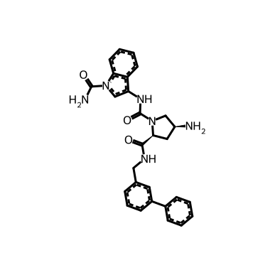 NC(=O)n1cc(NC(=O)N2C[C@@H](N)C[C@H]2C(=O)NCc2cccc(-c3ccccc3)c2)c2ccccc21